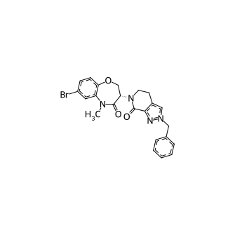 CN1C(=O)[C@@H](N2CCc3cn(Cc4ccccc4)nc3C2=O)COc2ccc(Br)cc21